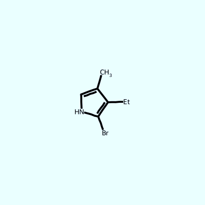 CCc1c(C)c[nH]c1Br